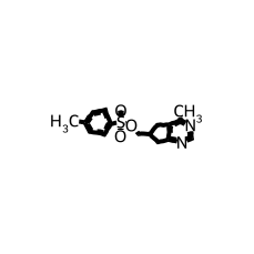 Cc1ccc(S(=O)(=O)OCC2Cc3ncnc(C)c3C2)cc1